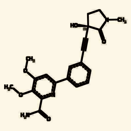 COc1cc(-c2cccc(C#C[C@]3(O)CCN(C)C3=O)c2)nc(C(N)=O)c1OC